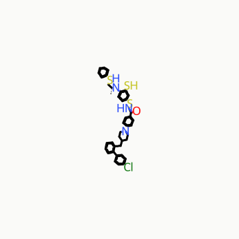 C[C@H](CSc1ccccc1)Nc1ccc(SNC(=O)c2ccc(N3CCC(Cc4ccccc4-c4ccc(Cl)cc4)CC3)cc2)cc1S